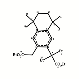 CCOC(=O)Cc1cc2c(cc1C(CC)(CC)C(=O)OCC)C(C)(C)CCC2(C)C